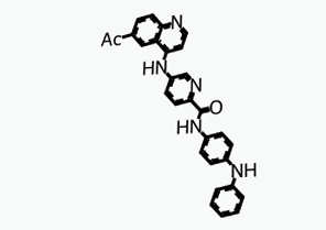 CC(=O)c1ccc2nccc(Nc3ccc(C(=O)Nc4ccc(Nc5ccccc5)cc4)nc3)c2c1